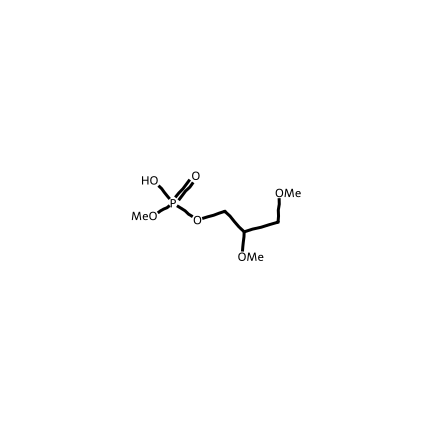 COCC(COP(=O)(O)OC)OC